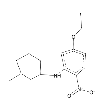 CCOc1ccc([N+](=O)[O-])c(NC2CCCC(C)C2)c1